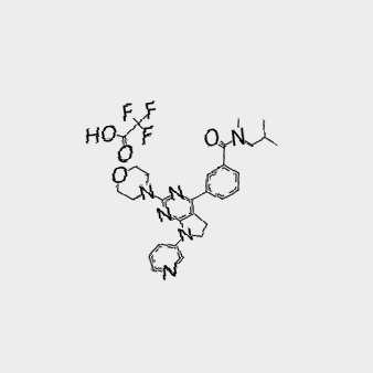 CC(C)CN(C)C(=O)c1cccc(-c2nc(N3CCOCC3)nc3c2CCN3c2cccnc2)c1.O=C(O)C(F)(F)F